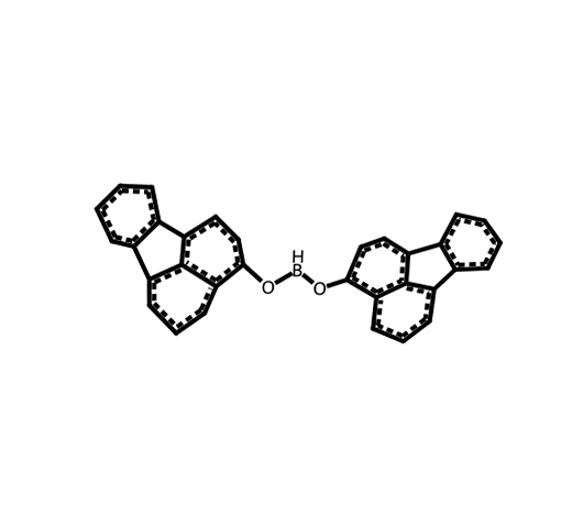 B(Oc1ccc2c3c(cccc13)-c1ccccc1-2)Oc1ccc2c3c(cccc13)-c1ccccc1-2